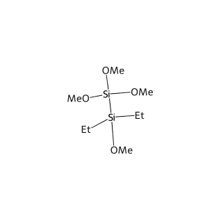 CC[Si](CC)(OC)[Si](OC)(OC)OC